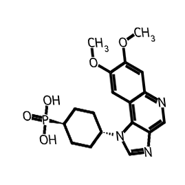 COc1cc2ncc3ncn([C@H]4CC[C@H](P(=O)(O)O)CC4)c3c2cc1OC